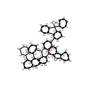 CC1(c2ccccc2)c2ccccc2-c2c(-c3ccc(N(c4ccccc4-c4cccc5c4oc4ccccc45)c4ccccc4-c4cccc5cccc(C6CCCCC6)c45)cc3)cccc21